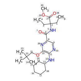 CCC(CC)(NC(=O)c1cnc(NC2CCCCC2)c(OCC(C)(C)C)n1)C(=O)OC